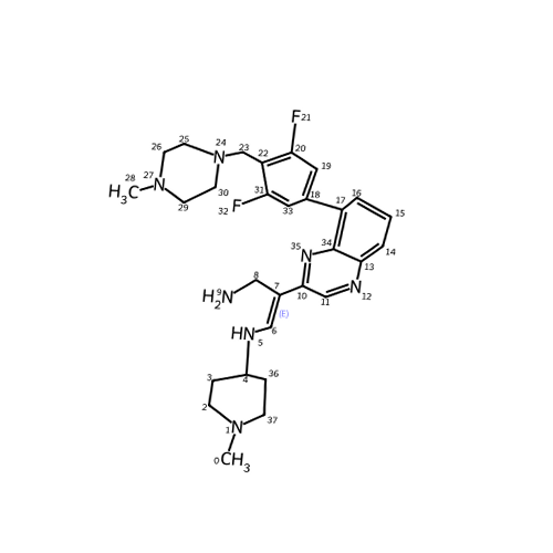 CN1CCC(N/C=C(\CN)c2cnc3cccc(-c4cc(F)c(CN5CCN(C)CC5)c(F)c4)c3n2)CC1